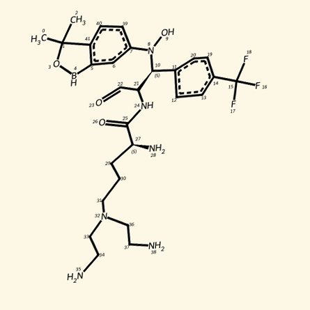 CC1(C)OBc2cc(N(O)[C@@H](c3ccc(C(F)(F)F)cc3)C(C=O)NC(=O)[C@@H](N)CCCN(CCN)CCN)ccc21